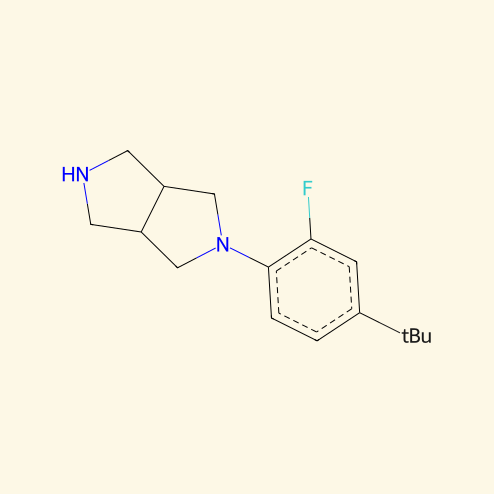 CC(C)(C)c1ccc(N2CC3CNCC3C2)c(F)c1